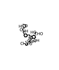 O=C(NCc1cccc(Cn2nc(NS(=O)(=O)c3ccc(Cl)s3)c3c(O)cccc32)c1)[C@@H]1COCCN1.O=CO